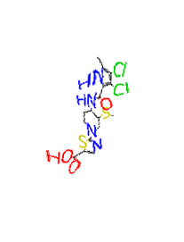 CSC1CN(c2ncc(C(=O)O)s2)CCC1NC(=O)c1[nH]c(C)c(Cl)c1Cl